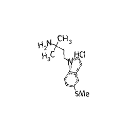 CSc1ccc2c(ccn2CCC(C)(C)N)c1.Cl